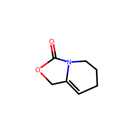 O=C1OCC2=CCCCN12